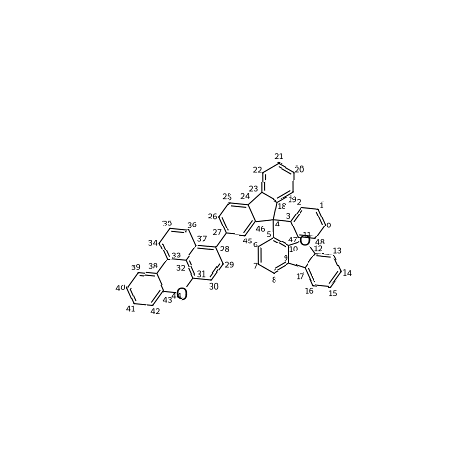 c1ccc(C2(c3cccc4c3oc3ccccc34)c3ccccc3-c3ccc(-c4ccc5c6c(cccc46)-c4ccccc4O5)cc32)cc1